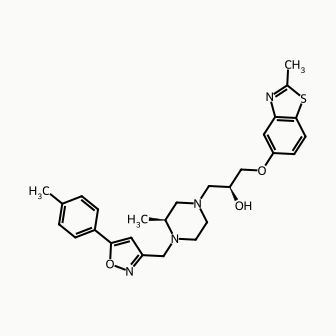 Cc1ccc(-c2cc(CN3CCN(C[C@H](O)COc4ccc5sc(C)nc5c4)C[C@@H]3C)no2)cc1